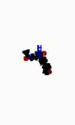 O=C(C1CC1)N1CC(Cc2n[nH]c(=O)n2-c2ccc(-c3ccc4occc4c3)cc2)C1